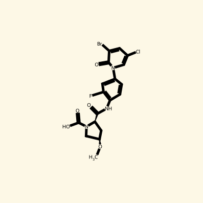 CO[C@@H]1C[C@H](C(=O)Nc2ccc(-n3cc(Cl)cc(Br)c3=O)cc2F)N(C(=O)O)C1